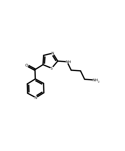 NCCCNc1ncc(C(=O)c2ccncc2)s1